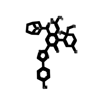 CCOC1(C)CC=C(Cl)C=C1n1c(C=C(C)C)c(C(=O)N2CC3CCC(C2)N3)cc(-c2nc(-c3ccc(C#N)cc3)cs2)c1=O